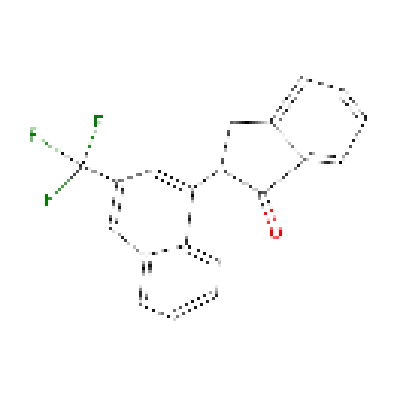 O=C1c2ccccc2CC1c1cc(C(F)(F)F)cc2ccccc12